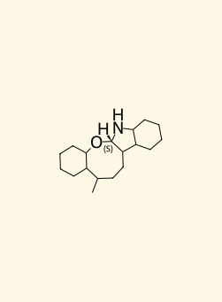 CC1CCC2C3CCCCC3N[C@H]2OC2CCCCC12